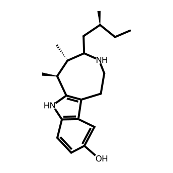 CC[C@H](C)CC1NCCc2c([nH]c3ccc(O)cc23)[C@@H](C)[C@@H]1C